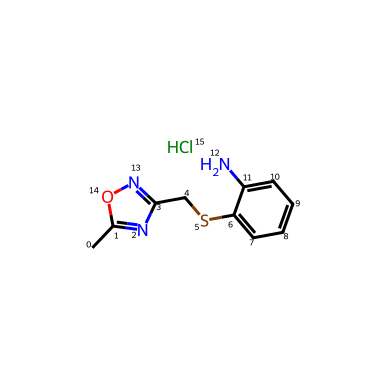 Cc1nc(CSc2ccccc2N)no1.Cl